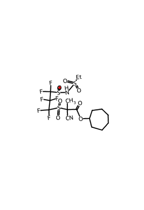 CCS(=O)(=O)NS(=O)(=O)C(F)(F)C(F)(F)C(F)(F)S(=O)(=O)C(C)(C#N)C(=O)OC1CCCCCC1